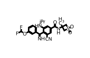 CC(C)Nc1cc(C(=O)NC2(C)CS(=O)(=O)C2)cc(C#N)c1C(=N)c1cccc(OC(F)F)c1